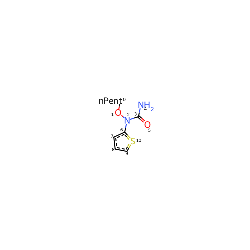 CCCCCON(C(N)=O)c1cccs1